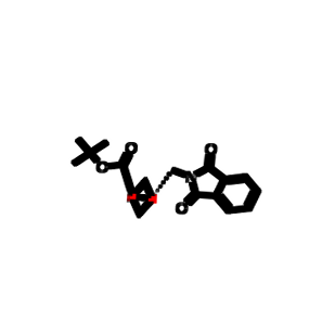 CC(C)(C)OC(=O)N1[C@@H](CN2C(=O)c3ccccc3C2=O)C23CC12C3